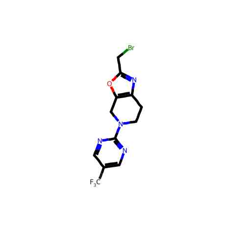 FC(F)(F)c1cnc(N2CCc3nc(CBr)oc3C2)nc1